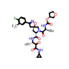 CCC[C@H](NC(=O)[C@@H]1C[C@]2(CC(c3ccc(F)c(C(F)(F)F)c3)=NO2)CN1C(=O)[C@@H](NC(=O)O[C@H]1CCOC1)C(C)(C)C)C(=O)C(=O)NC1CC1